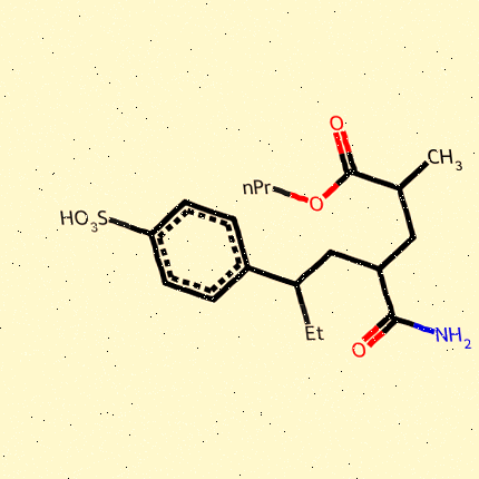 CCCOC(=O)C(C)CC(CC(CC)c1ccc(S(=O)(=O)O)cc1)C(N)=O